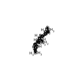 C=CC(=O)Nc1cc(Nc2nc(-c3ccnc(N4CCn5c(cc6c5CC(C)(C)C6)C4=O)c3CO)cn(C)c2=O)ccc1N1CCN(C2CCN(c3cccc(C(C)(C)C(F)(F)F)n3)[C@@H](C)C2)C[C@@H]1C